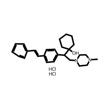 CN1CCN(CC(c2ccc(C=Cc3ccccc3)cc2)C2(O)CCCCC2)CC1.Cl.Cl